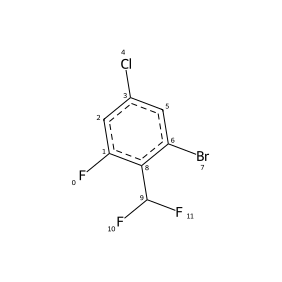 Fc1cc(Cl)cc(Br)c1C(F)F